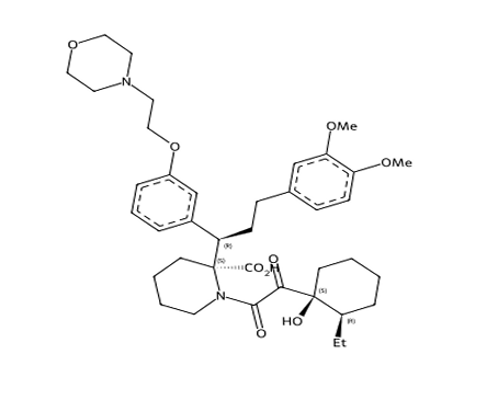 CC[C@@H]1CCCC[C@@]1(O)C(=O)C(=O)N1CCCC[C@@]1(C(=O)O)[C@H](CCc1ccc(OC)c(OC)c1)c1cccc(OCCN2CCOCC2)c1